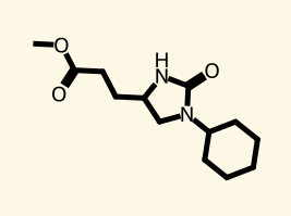 COC(=O)CCC1CN(C2CCCCC2)C(=O)N1